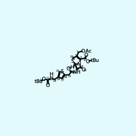 CC(=O)OCC1=C(C(=O)OC(C)(C)C)N2C(=O)[C@@H](NC(=O)Cc3cc(CNC(=O)OC(C)(C)C)cs3)[C@@H]2SC1